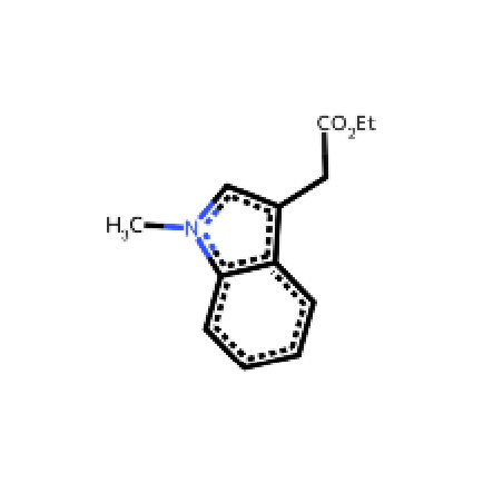 CCOC(=O)Cc1cn(C)c2ccccc12